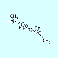 C=CCCCOc1ccc(-c2ccc(COc3ccc(C4CCC(C(O)CCC)CC4)c(F)c3F)cc2)c(F)c1F